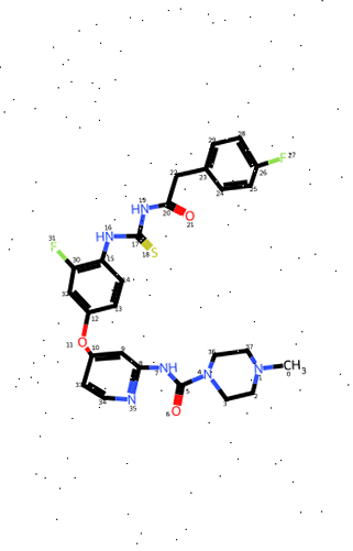 CN1CCN(C(=O)Nc2cc(Oc3ccc(NC(=S)NC(=O)Cc4ccc(F)cc4)c(F)c3)ccn2)CC1